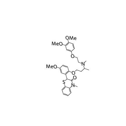 COc1ccc(OCCC(C)N(C)CCOc2ccc(OC)c(OC)c2)c(C2Sc3ccccc3N(C)C2=O)c1